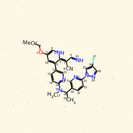 COCOC1=CN/C(=C(/C#N)C=N)C(c2ccc(N(C)C(C)c3ccc(-n4cc(F)cn4)nc3)nc2)=C1